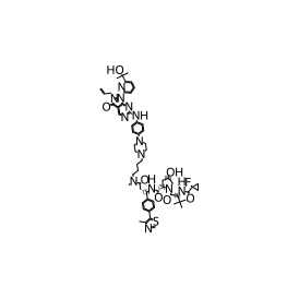 C=CCn1c(=O)c2cnc(Nc3ccc(N4CCN(CCCCN(C)C(=O)C[C@H](NC(=O)[C@@H]5C[C@@H](O)CN5C(=O)[C@@H](NC(=O)C5(F)CC5)C(C)(C)C)c5ccc(-c6scnc6C)cc5)CC4)cc3)nc2n1-c1cccc(C(C)(C)O)n1